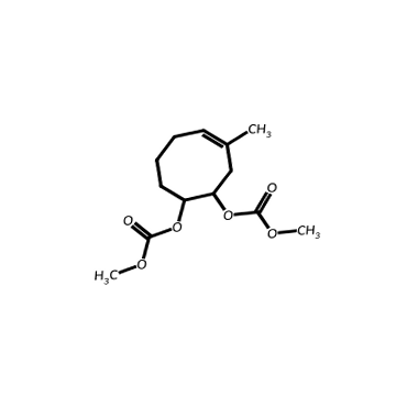 COC(=O)OC1CCCC=C(C)CC1OC(=O)OC